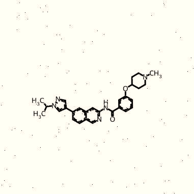 CC(C)n1cc(-c2ccc3cnc(NC(=O)c4cccc(OC5CCN(C)CC5)c4)cc3c2)cn1